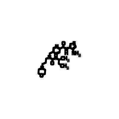 CCC(C)NC(=O)N(CCCN1CCOCC1)Cc1ccc(C(=O)Nc2cscc2N)nc1